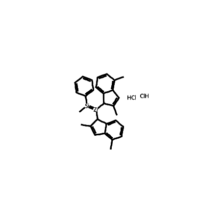 CC1=Cc2c(C)cccc2[CH]1[Zr]([CH]1C(C)=Cc2c(C)cccc21)=[Si](C)c1ccccc1.Cl.Cl